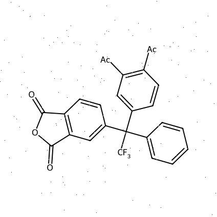 CC(=O)c1ccc(C(c2ccccc2)(c2ccc3c(c2)C(=O)OC3=O)C(F)(F)F)cc1C(C)=O